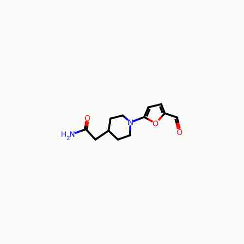 NC(=O)CC1CCN(c2ccc(C=O)o2)CC1